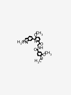 COc1ccc(C(=O)NCC(=O)c2ccc(OC)c(-c3ccc4cn(C)nc4c3)n2)cc1OC